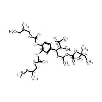 CCC(C)COC(=O)Oc1ccc(C(CC(C)OC(=O)OC(C)(C)CC)[C@H](N)C(=O)O)cc1OC(=O)OCC(C)CC